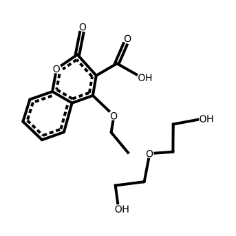 CCOc1c(C(=O)O)c(=O)oc2ccccc12.OCCOCCO